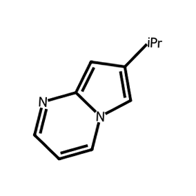 CC(C)c1cc2ncccn2c1